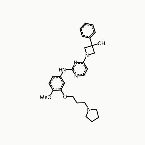 COc1ccc(Nc2nccc(N3CC(O)(c4ccccc4)C3)n2)cc1OCCCN1CCCC1